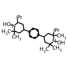 CC(C)C1CC(c2ccc(C3CC(C)(C)N(O)C(C)(C(C)C)C3)cc2)CC(C)(C)N1O